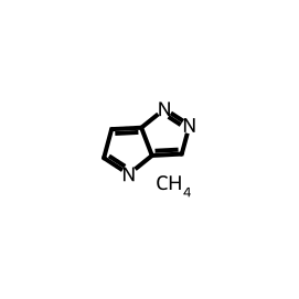 C.C1=NC2=CN=NC2=C1